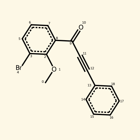 COc1c(Br)cccc1C(=O)C#Cc1ccccc1